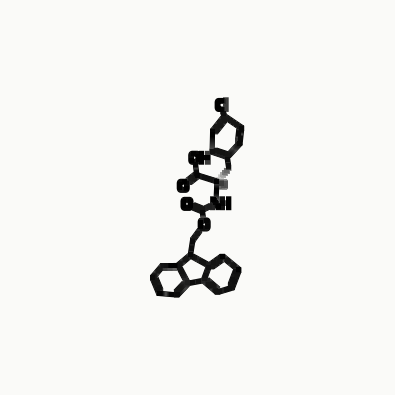 O=C(N[C@@H](Cc1ccc(Cl)cc1)C(=O)O)OCC1c2ccccc2-c2ccccc21